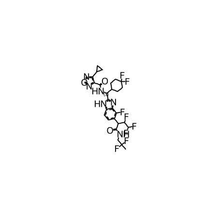 CC(F)(F)CNC(=O)C(c1ccc2[nH]c([C@@H](NC(=O)c3nonc3C3CC3)C3CCC(F)(F)CC3)nc2c1F)C(F)C(F)F